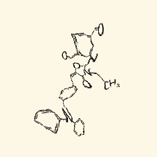 CCN1C(=O)/C(=C\c2ccc(N(c3ccccc3)c3ccccc3)cc2)O/C1=N\c1cc(C=O)ccc1C=O